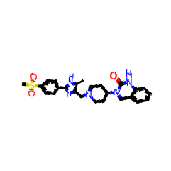 Cc1[nH]c(-c2ccc(S(C)(=O)=O)cc2)nc1CN1CCC(N2Cc3ccccc3NC2=O)CC1